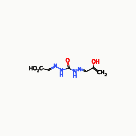 C=C(O)/C=N/NC(=O)N/N=C/C(=O)O